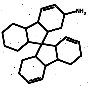 NC1C=CC2C3CCCCC3C3(C4C=CCCC4C4C=CCCC43)C2C1